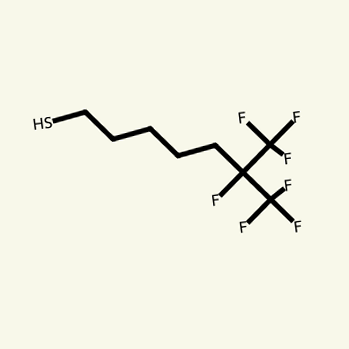 FC(F)(F)C(F)(CCCCCS)C(F)(F)F